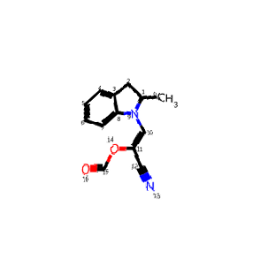 CC1Cc2ccccc2N1C=C(C#N)OC=O